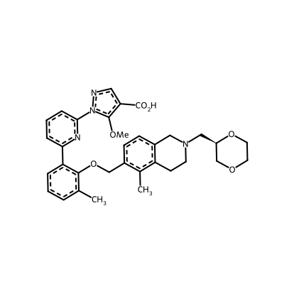 COc1c(C(=O)O)cnn1-c1cccc(-c2cccc(C)c2OCc2ccc3c(c2C)CCN(C[C@@H]2COCCO2)C3)n1